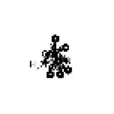 CC(=O)CCC(=O)OC[C@H](OCc1ccccc1)[C@H](OCc1ccccc1)[C@@H](CO)O[C@@H]1O[C@H](COCc2ccccc2)[C@@H](OCc2ccccc2)[C@H](OCc2ccccc2)[C@H]1N=[N+]=[N-]